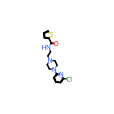 O=C(NCCN1CCN(c2cccc(Cl)n2)CC1)c1cccs1